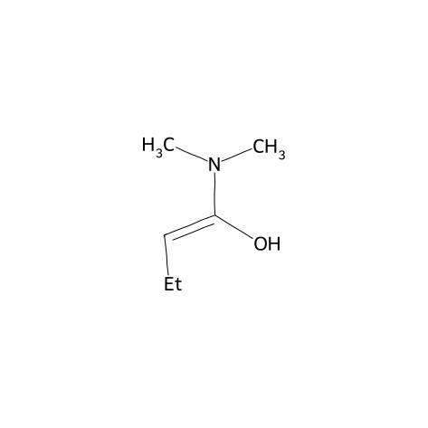 CCC=C(O)N(C)C